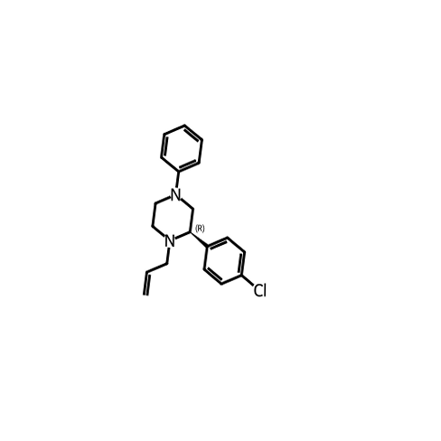 C=CCN1CCN(c2ccccc2)C[C@H]1c1ccc(Cl)cc1